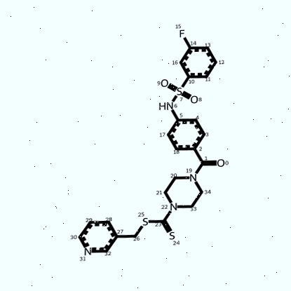 O=C(c1ccc(NS(=O)(=O)c2cccc(F)c2)cc1)N1CCN(C(=S)SCc2cccnc2)CC1